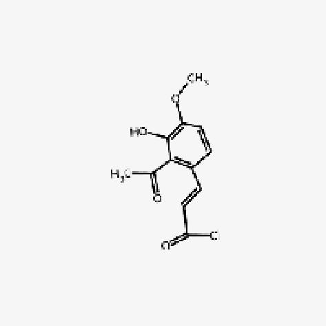 COc1ccc(C=CC(=O)Cl)c(C(C)=O)c1O